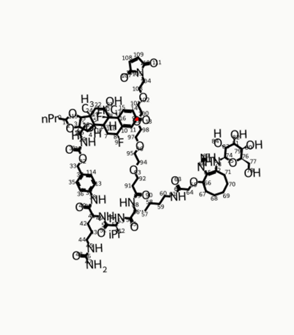 CCCC1O[C@@H]2C[C@H]3[C@@H]4C[C@H](F)C5=CC(=O)C=C[C@]5(C)[C@@]4(F)[C@@H](O)C[C@]3(C)[C@]2(C(=O)CNC(=O)OCc2ccc(NC(=O)[C@H](CCCNC(N)=O)NC(=O)[C@@H](NC(=O)[C@@H](CCCCNC(=O)COC3CCCCC/C(N[C@@H]4O[C@H](CO)[C@H](O)[C@H](O)[C@H]4O)=C\3N=N)NC(=O)CCOCCOCCOCCOCCN3C(=O)C=CC3=O)C(C)C)cc2)O1